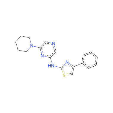 c1ccc(-c2csc(Nc3cncc(N4CCCCC4)n3)n2)cc1